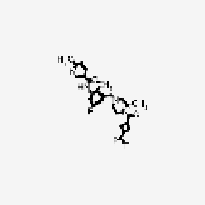 Cc1ccc(C(=O)Nc2cc(F)cc(CN3CCN(C(=O)C4CC(C(F)F)C4)[C@@H](C)C3)c2C)cn1